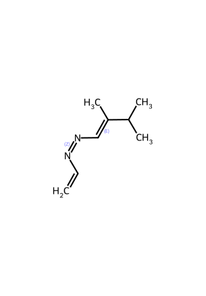 C=C/N=N\C=C(/C)C(C)C